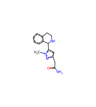 Cn1nc(CC(N)=O)cc1C1NCCc2ccccc21